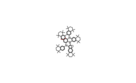 Cc1cc2c3c(c1)N(c1ccc4c(c1)C(C)(C)CCC4(C)C)c1c(oc4cc5c(cc14)C(C)(C)CCC5(C)C)B3c1cc3c(cc1N2c1cc2c(cc1-c1cccc4c1C(C)(C)CCC4(C)C)C(C)(C)CCC2(C)C)C(C)(C)CCC3(C)C